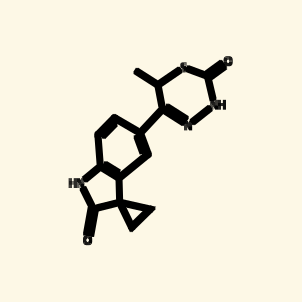 CC1SC(=O)NN=C1c1ccc2c(c1)C1(CC1)C(=O)N2